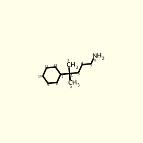 CC(C)(CCCN)C1CCCCC1